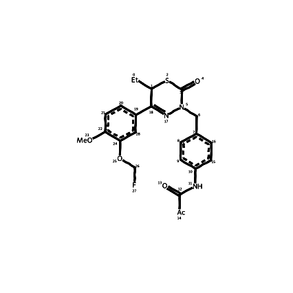 CCC1SC(=O)N(Cc2ccc(NC(=O)C(C)=O)cc2)N=C1c1ccc(OC)c(OCF)c1